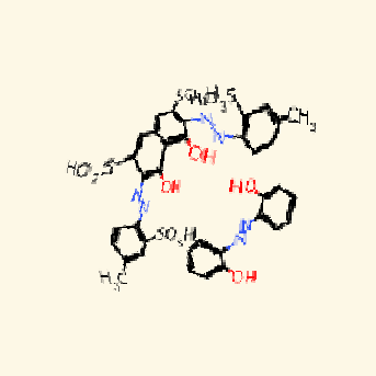 Cc1ccc(N=Nc2c(S(=O)(=O)O)cc3cc(S(=O)(=O)O)c(N=Nc4ccc(C)cc4S(=O)(=O)O)c(O)c3c2O)c(S(=O)(=O)O)c1.Oc1ccccc1N=Nc1ccccc1O